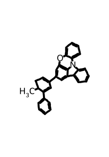 CC1CC=C(c2cc3c4c(c2)c2ccccc2n4-c2ccccc2O3)C=C1c1ccccc1